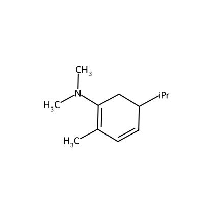 CC1=C(N(C)C)CC(C(C)C)C=C1